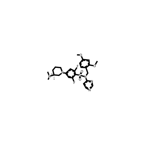 COc1ccc(CN(c2ccncn2)S(=O)(=O)c2c(F)cc(N3CCC[C@](C)(N(C)C)C3)cc2F)c(OC)c1